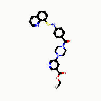 CCOC(=O)c1cncc(N2CCN(C(=O)c3ccc(NSc4cccc5cccnc45)cc3)CC2)c1